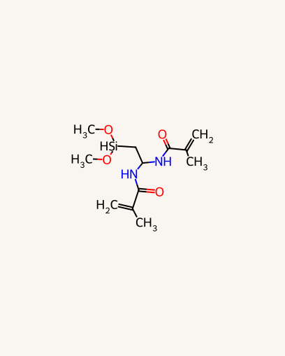 C=C(C)C(=O)NC(C[SiH](OC)OC)NC(=O)C(=C)C